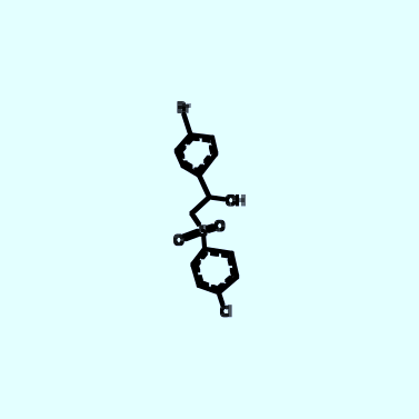 O=S(=O)(CC(O)c1ccc(Br)cc1)c1ccc(Cl)cc1